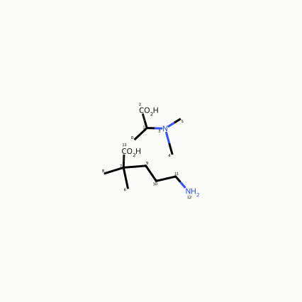 CC(C(=O)O)N(C)C.CC(C)(CCCN)C(=O)O